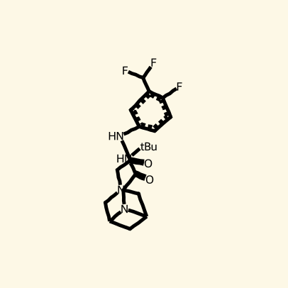 CC(C)(C)NC(=O)CN1C2CC1CN(CC(=O)Nc1ccc(F)c(C(F)F)c1)C2